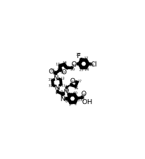 O=C(O)c1ccc2nc(CN3CCN(C(=O)c4ccc(COc5ccc(Cl)cc5F)o4)CC3)n(C[C@@H]3CCO3)c2c1